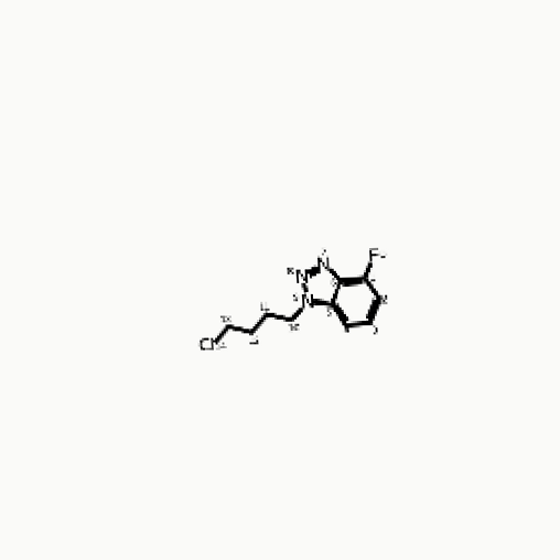 Fc1cccc2c1nnn2CCCCCl